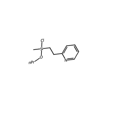 CCCO[Si](C)(Cl)CCc1ccccn1